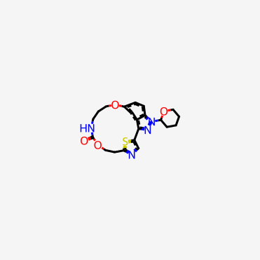 O=C1NCCCOc2ccc3c(c2)c(nn3C2CCCCO2)-c2cnc(s2)CCO1